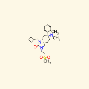 CN(C)[C@]1(c2ccccc2)CC[C@]2(CC1)CN(CCS(C)(=O)=O)C(=O)N2CC1CCC1